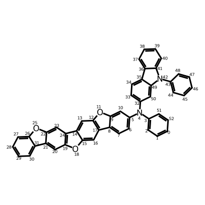 c1ccc(N(c2ccc3c(c2)oc2cc4c(cc23)oc2cc3c(cc24)oc2ccccc23)c2ccc3c4ccccc4n(-c4ccccc4)c3c2)cc1